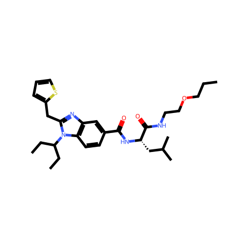 CCCOCCNC(=O)[C@H](CC(C)C)NC(=O)c1ccc2c(c1)nc(Cc1cccs1)n2C(CC)CC